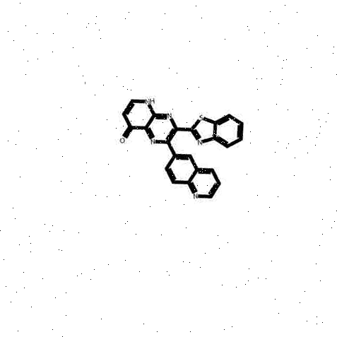 O=c1cc[nH]c2nc(-c3nc4ccccc4s3)c(-c3ccc4ncccc4c3)nc12